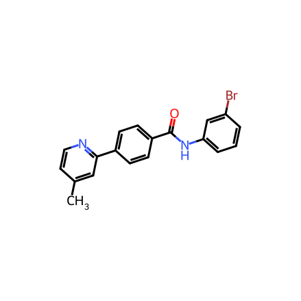 Cc1ccnc(-c2ccc(C(=O)Nc3cccc(Br)c3)cc2)c1